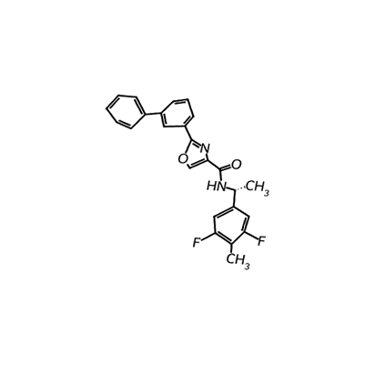 Cc1c(F)cc([C@@H](C)NC(=O)c2coc(-c3cccc(-c4ccccc4)c3)n2)cc1F